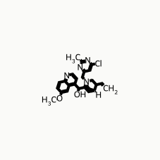 C=CC1C[N+]2(Cc3cc(Cl)nc(C)n3)CC[C@H]1CC2C(O)c1ccnc2ccc(OC)cc12